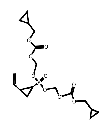 C=C[C@@H]1C[C@@H]1P(=O)(OCOC(=O)OCC1CC1)OCOC(=O)OCC1CC1